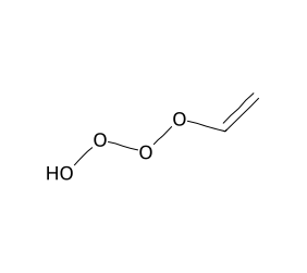 C=COOOO